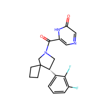 O=C(c1cncc(=O)[nH]1)N1C[C@H](c2cccc(F)c2F)C2(CCC2)C1